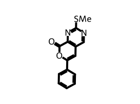 CSc1ncc2cc(-c3ccccc3)oc(=O)c2n1